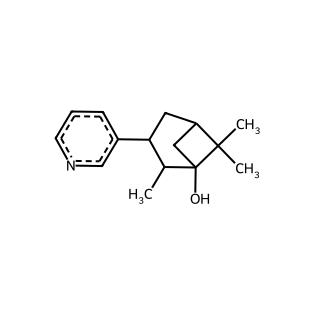 CC1C(c2cccnc2)CC2CC1(O)C2(C)C